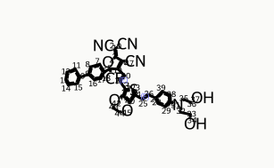 N#CC(C#N)=C1OC(c2ccc(-c3ccccc3)cc2)(C(F)(F)F)C(/C=C/c2sc(/C=C/c3ccc(N(CCO)CCO)cc3)c3c2OCCO3)=C1C#N